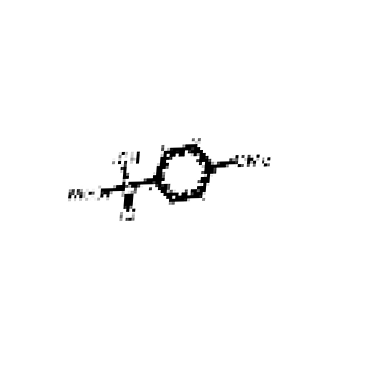 COc1ccc(P(=O)(O)OC)cc1